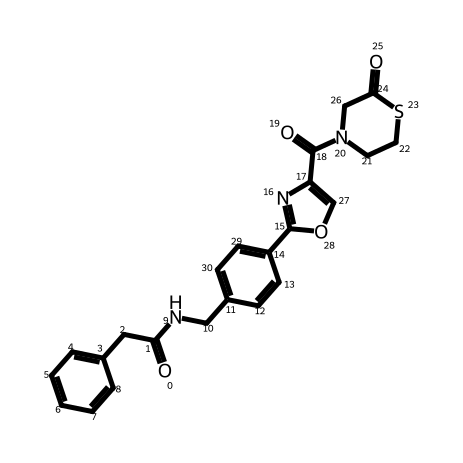 O=C(Cc1ccccc1)NCc1ccc(-c2nc(C(=O)N3CCSC(=O)C3)co2)cc1